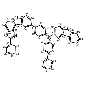 c1ccc(-c2ccc(N(c3ccc(-c4ccc5oc6ccc7oc(-c8ccccc8)nc7c6c5c4)cc3)c3ccc4oc5ccccc5c4c3)cc2)cc1